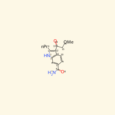 CCCc1[nH]c2cc(C(N)=O)ccc2c1C(=O)COC